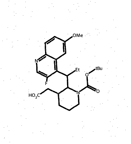 CCC(c1c(F)cnc2ccc(OC)cc12)C1C(CC(=O)O)CCCN1C(=O)OC(C)(C)C